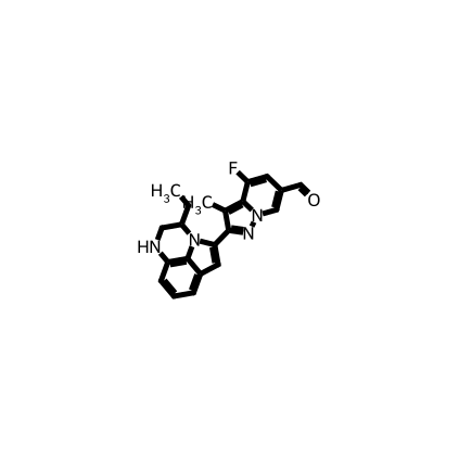 CCC1CNc2cccc3cc(-c4nn5cc(C=O)cc(F)c5c4C)n1c23